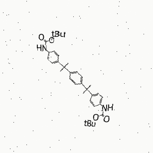 CC(C)(C)OC(=O)Nc1ccc(C(C)(C)c2ccc(C(C)(C)c3ccc(NC(=O)OC(C)(C)C)cc3)cc2)cc1